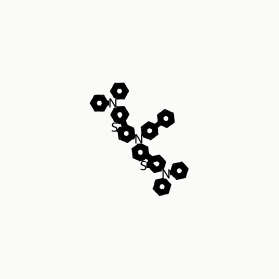 c1ccc(-c2ccc(N(c3ccc4sc5cc(N(c6ccccc6)c6ccccc6)ccc5c4c3)c3ccc4sc5cc(N(c6ccccc6)c6ccccc6)ccc5c4c3)cc2)cc1